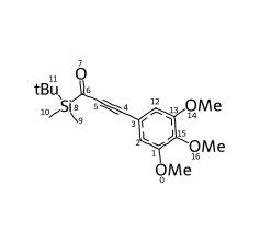 COc1cc(C#CC(=O)[Si](C)(C)C(C)(C)C)cc(OC)c1OC